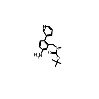 CN(Cc1cc(N)ccc1-c1cccnc1)C(=O)OC(C)(C)C